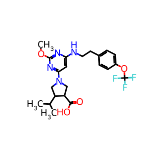 COc1nc(NCCc2ccc(OC(F)(F)F)cc2)cc(N2CC(C(=O)O)C(C(C)C)C2)n1